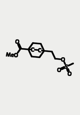 COC(=O)C12CCC(CCOS(C)(=O)=O)(CC1)CC2